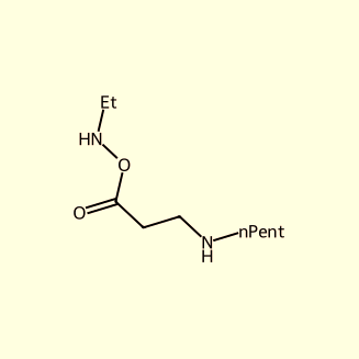 CCCCCNCCC(=O)ONCC